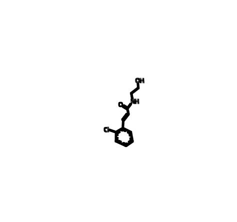 O=C(/C=C/c1ccccc1Cl)NCCO